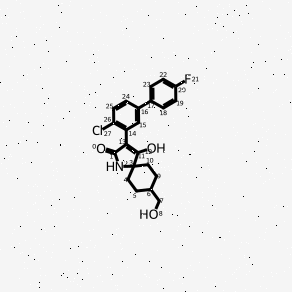 O=C1NC2(CCC(CO)CC2)C(O)=C1c1cc(-c2ccc(F)cc2)ccc1Cl